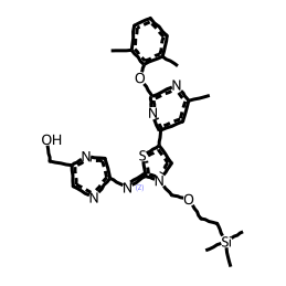 Cc1cc(-c2cn(COCC[Si](C)(C)C)/c(=N/c3cnc(CO)cn3)s2)nc(Oc2c(C)cccc2C)n1